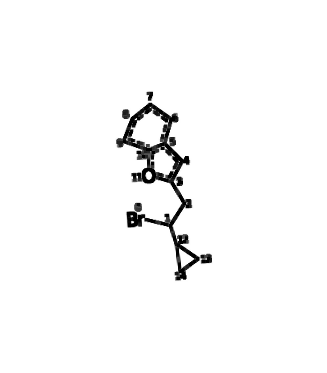 BrC(Cc1cc2ccccc2o1)C1CC1